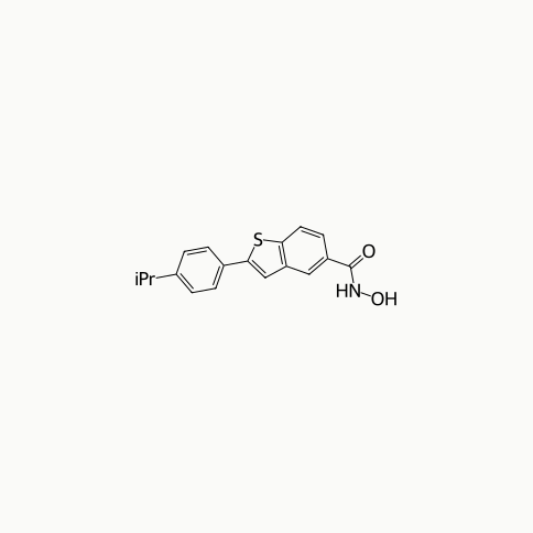 CC(C)c1ccc(-c2cc3cc(C(=O)NO)ccc3s2)cc1